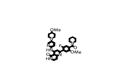 COc1cc(-c2cc(Nc3ccc(N4CCC(OC)CC4)cn3)c3c(=O)[nH]ccc3n2)c(F)cc1C(=O)N1CCCCC1